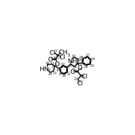 CC(Cl)(Cl)C(=O)OC1(c2cccc(C3CC(OC(=O)C(Cl)CCl)(c4ccccc4)CCN3)c2)CCNCC1